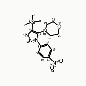 C[Si](C)(C)c1nnn(-c2ccc([N+](=O)[O-])cc2)c1N1CCOCC1